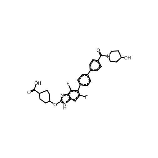 O=C(O)C1CCC(Oc2nc3c(F)c(-c4ccc(-c5ccc(C(=O)N6CCC(O)CC6)cc5)cc4)c(F)cc3[nH]2)CC1